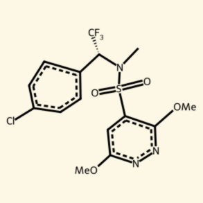 COc1cc(S(=O)(=O)N(C)[C@H](c2ccc(Cl)cc2)C(F)(F)F)c(OC)nn1